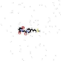 CSCCCCC1CCN(C(=O)CCN2C(=O)C=CC2=O)CC1